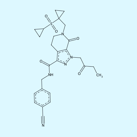 CCC(=O)Cn1nc(C(=O)NCc2ccc(C#N)cc2)c2c1C(=O)N(CC1(S(=O)(=O)C3CC3)CC1)CC2